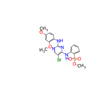 COc1ccc(Nc2ncc(Br)c(Nc3ccccc3S(=O)(=O)OC)n2)c(OC)c1